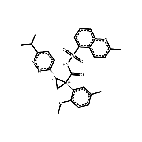 COc1ccc(C)cc1[C@]1(C(=O)NS(=O)(=O)c2cccc3nc(C)ccc23)C[C@@H]1c1ccc(C(C)C)nn1